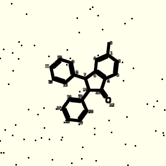 Cc1ccc2c(c1)C(c1ccccc1)C(c1ccccc1)C2=O